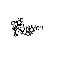 OCc1ccc([C@]2(O)CC[C@@H](OCc3c(-c4c(Cl)cccc4Cl)noc3C3CC3)CC2)c(F)c1